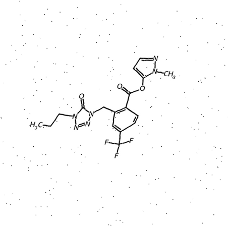 CCCn1nnn(Cc2cc(C(F)(F)F)ccc2C(=O)Oc2ccnn2C)c1=O